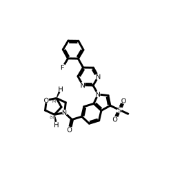 CS(=O)(=O)c1cn(-c2ncc(-c3ccccc3F)cn2)c2cc(C(=O)N3C[C@@H]4C[C@H]3CO4)ccc12